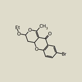 CCOC1CC2Oc3ccc(Br)cc3C(=O)C2=C(C)O1